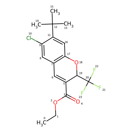 CCOC(=O)C1=Cc2cc(Cl)c(C(C)(C)C)cc2OC1C(F)(F)F